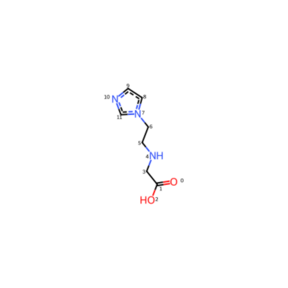 O=C(O)CNCCn1ccnc1